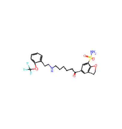 NS(=O)(=O)c1cc(C(=O)CCCCCNCCc2ccccc2OC(F)(F)F)cc2c1OCC2